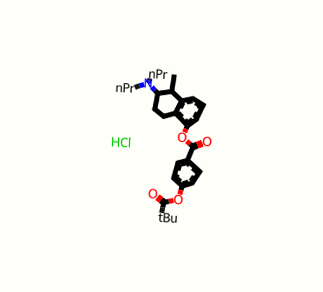 CCCN(CCC)C1CCc2c(OC(=O)c3ccc(OC(=O)C(C)(C)C)cc3)cccc2C1C.Cl